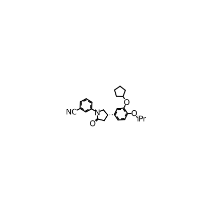 CC(C)Oc1ccc([C@@H]2CC(=O)N(c3cccc(C#N)c3)C2)cc1OC1CCCC1